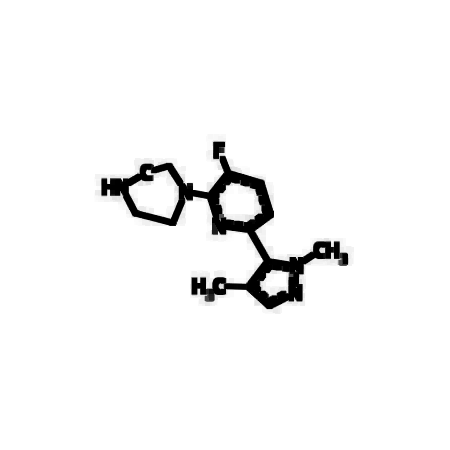 Cc1cnn(C)c1-c1ccc(F)c(N2CCNCC2)n1